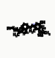 C=C1/C(=C\C=C2CCC[C@@]3(C)C2CC[C@@H]3[C@H](C)CCCC(C)C)C[C@@H](O)C[C@H]1O[Si](C)(C)C(C)(C)C